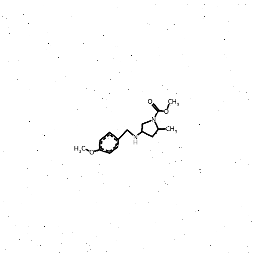 COC(=O)N1CC(NCc2ccc(OC)cc2)CC1C